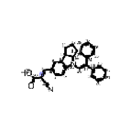 N#C/C(=C\c1ccc2c(c1)C1CCCC1N2C=C(c1ccccc1)c1ccccc1)C(=O)O